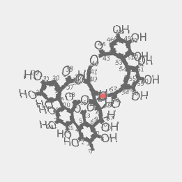 Cc1c(O)c2c3c(c1O)[C@H](O)[C@H](OC3=O)[C@H]1OC(=O)c3c(c(O)c(O)c(O)c3-2)-c2c(cc(O)c(O)c2O)C(=O)O[C@@H]2COC(=O)c3cc(O)c(O)c(O)c3-c3cc(c(O)c(O)c3O)C(=O)O[C@@H]12